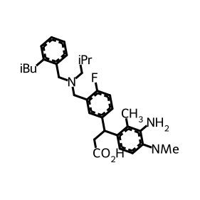 CCC(C)c1ccccc1CN(Cc1cc(C(CC(=O)O)c2ccc(NC)c(N)c2C)ccc1F)CC(C)C